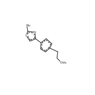 COCCc1ccc(-c2csc(C(C)(C)C)n2)cc1